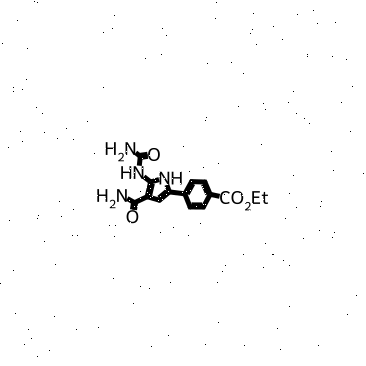 CCOC(=O)c1ccc(-c2cc(C(N)=O)c(NC(N)=O)[nH]2)cc1